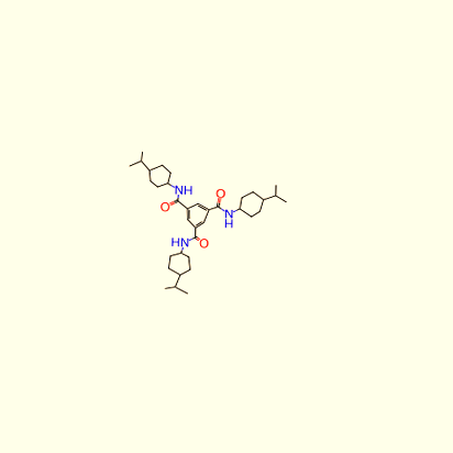 CC(C)C1CCC(NC(=O)c2cc(C(=O)NC3CCC(C(C)C)CC3)cc(C(=O)NC3CCC(C(C)C)CC3)c2)CC1